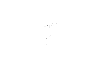 CN(C)[C@H]1C[C@@H](NC(C)(C)C)C1